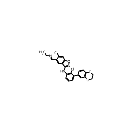 [CH2]CN=Cc1cc2c(Nc3cccc(-c4ccc5c(c4)OCCO5)c3Cl)noc2cc1Cl